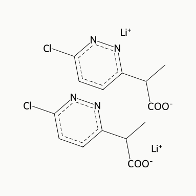 CC(C(=O)[O-])c1ccc(Cl)nn1.CC(C(=O)[O-])c1ccc(Cl)nn1.[Li+].[Li+]